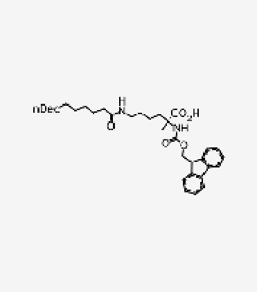 CCCCCCCCCCCCCCCC(=O)NCCCC[C@](C)(NC(=O)OCC1c2ccccc2-c2ccccc21)C(=O)O